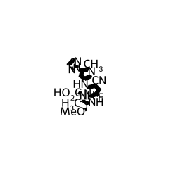 COC[C@@H](Nc1nc(Nc2cnc(C)c(-n3nccn3)c2)c(C#N)cc1F)[C@H](C)NC(=O)O